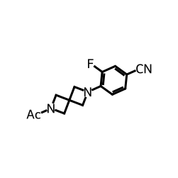 CC(=O)N1CC2(C1)CN(c1ccc(C#N)cc1F)C2